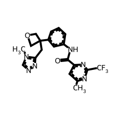 Cc1cc(C(=O)Nc2cccc(C3(Cc4nncn4C)COC3)c2)nc(C(F)(F)F)n1